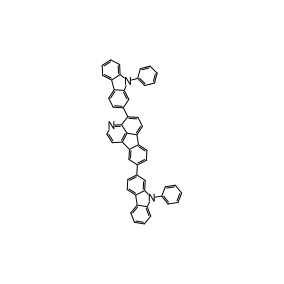 c1ccc(-n2c3ccccc3c3ccc(-c4ccc5c(c4)-c4ccnc6c(-c7ccc8c9ccccc9n(-c9ccccc9)c8c7)ccc-5c46)cc32)cc1